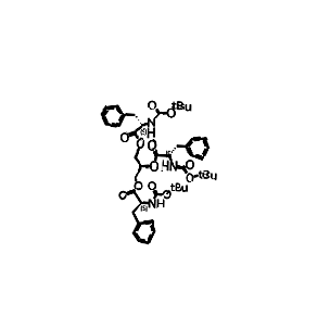 CC(C)(C)OC(=O)N[C@@H](Cc1ccccc1)C(=O)OCC(COC(=O)[C@H](Cc1ccccc1)NC(=O)OC(C)(C)C)OC(=O)[C@H](Cc1ccccc1)NC(=O)OC(C)(C)C